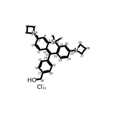 C[Si]1(C)C2=CC(=[N+]3CCC3)C=CC2=C(c2ccc(CO)cc2)c2ccc(N3CCC3)cc21.[Cl-]